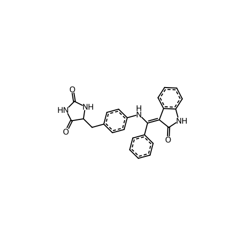 O=C1NC(=O)C(Cc2ccc(NC(=C3C(=O)Nc4ccccc43)c3ccccc3)cc2)N1